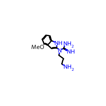 COc1cccc2[nH]c(N(CCCN)C(=N)N)cc12